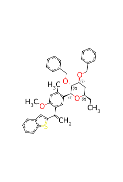 C=C(c1cc2ccccc2s1)c1cc([C@@H]2O[C@H](CC)C[C@H](OCc3ccccc3)[C@H]2OCc2ccccc2)c(C)cc1OC